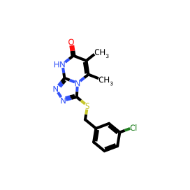 Cc1c(C)n2c(SCc3cccc(Cl)c3)nnc2[nH]c1=O